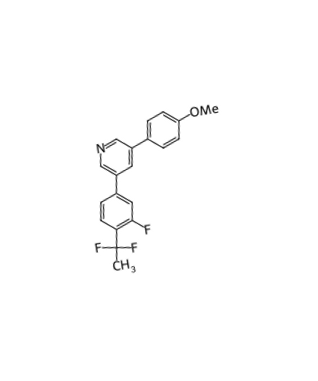 COc1ccc(-c2cncc(-c3ccc(C(C)(F)F)c(F)c3)c2)cc1